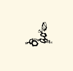 N#Cc1ccc2c(c1)CCC[C@@H]2Nc1ccc2[nH]nc(-c3ccc(C(=O)N4CCOCC4)cc3)c2c1